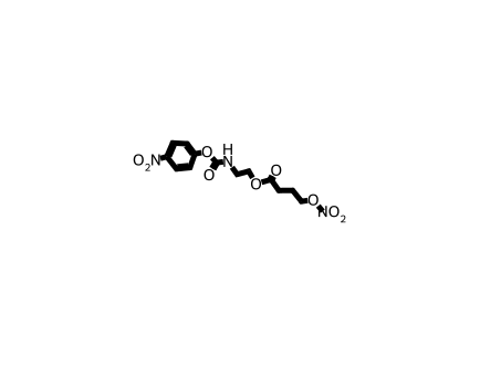 O=C(CCCO[N+](=O)[O-])OCCNC(=O)Oc1ccc([N+](=O)[O-])cc1